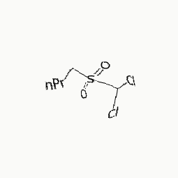 CCCCS(=O)(=O)C(Cl)Cl